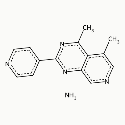 Cc1cncc2nc(-c3ccncc3)nc(C)c12.N